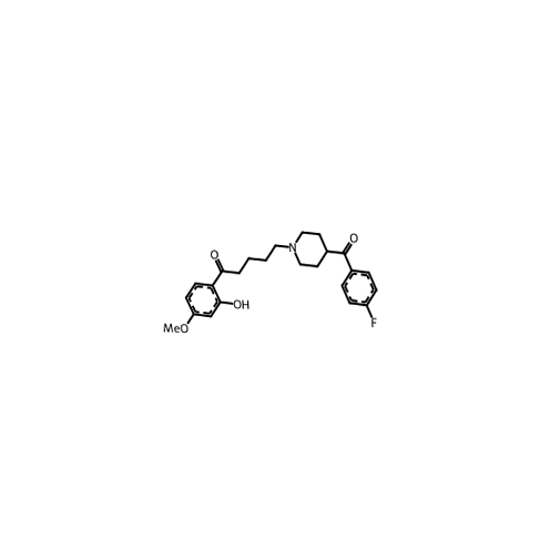 COc1ccc(C(=O)CCCCN2CCC(C(=O)c3ccc(F)cc3)CC2)c(O)c1